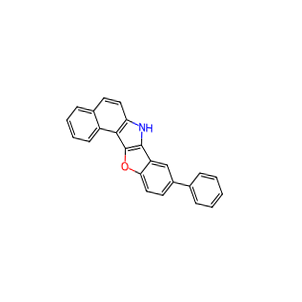 c1ccc(-c2ccc3oc4c([nH]c5ccc6ccccc6c54)c3c2)cc1